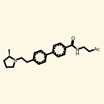 CC(=O)CCNC(=O)c1ccc(-c2ccc(CCN3CCC[C@H]3C)cc2)cc1